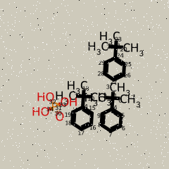 CC(C)(C)c1ccccc1.CC(C)(C)c1ccccc1.CC(C)(C)c1ccccc1.O=P(O)(O)O